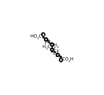 Cc1c(COc2ccc(CN3CCCC[C@H]3C(=O)O)cc2F)cccc1-c1cccc(COc2ccc(CN3CCCC[C@H]3C(=O)O)cc2F)c1C